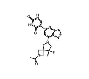 CC(=O)N1CC2(C1)CN(c1cc(-c3c[nH]c(=O)[nH]c3=O)nn3ccnc13)CC2(F)F